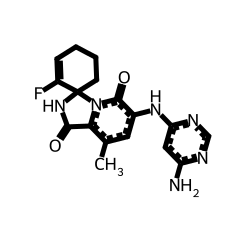 Cc1cc(Nc2cc(N)ncn2)c(=O)n2c1C(=O)NC21CCCC=C1F